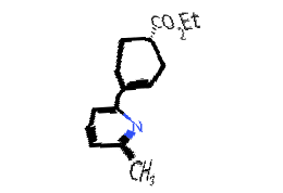 CCOC(=O)[C@@H]1CC=C(c2cccc(C)n2)CC1